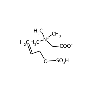 C=CCOS(=O)(=O)O.C[N+](C)(C)CC(=O)[O-]